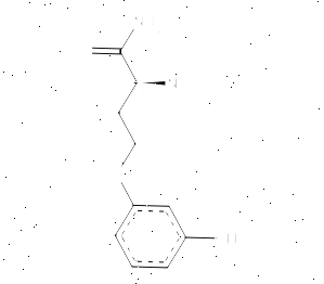 Cc1cccc(OCC[C@H](N)C(N)=O)c1